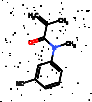 C=C(C)C(=O)N(C)c1cccc(C#N)c1